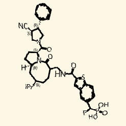 CC(C)[C@@H]1CCC(CNC(=O)c2cc3cc(C(F)P(=O)(O)O)ccc3s2)C(=O)N2[C@H](CC[C@H]2C(=O)N2C[C@@H](C#N)[C@H](c3ccccc3)C2)C1